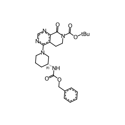 CC(C)(C)OC(=O)N1CCc2c(ncnc2N2CCC[C@@H](NC(=O)OCc3ccccc3)C2)C1=O